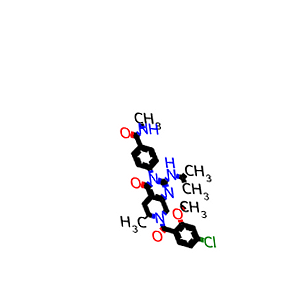 CNC(=O)c1ccc(-n2c(NC(C)C)nc3c(c2=O)C[C@@H](C)N(C(=O)c2ccc(Cl)cc2OC)C3)cc1